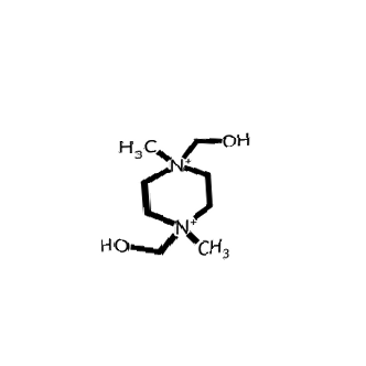 C[N+]1(CO)CC[N+](C)(CO)CC1